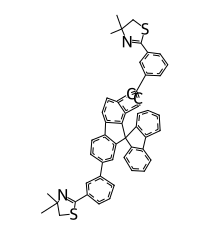 CC1(C)CSC(c2cccc(-c3ccc4c(c3)C3(c5ccccc5-c5ccccc53)c3c-4ccc4cc(-c5cccc(C6=NC(C)(C)CS6)c5)ccc34)c2)=N1